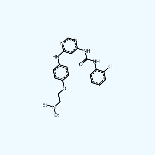 CCN(CC)CCOc1ccc(Nc2cc(NC(=O)Nc3ccccc3Cl)ncn2)cc1